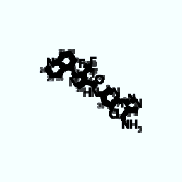 NCc1cnnn1-c1ncc(NC(=O)c2cnn(-c3cccc4ncccc34)c2C(F)(F)F)cc1Cl